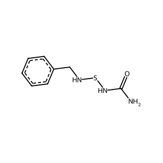 NC(=O)NSNCc1ccccc1